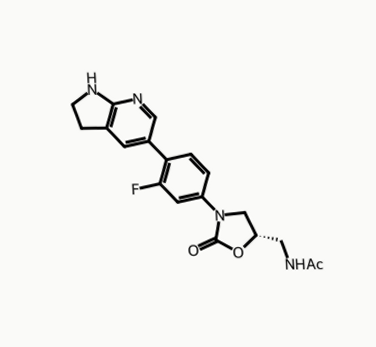 CC(=O)NC[C@H]1CN(c2ccc(-c3cnc4c(c3)CCN4)c(F)c2)C(=O)O1